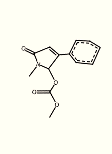 COC(=O)OC1C(c2ccccc2)=CC(=O)N1C